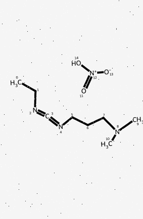 CCN=C=NCCCN(C)C.O=[N+]([O-])O